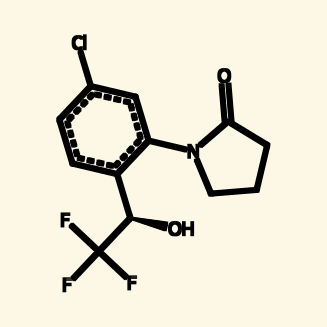 O=C1CCCN1c1cc(Cl)ccc1[C@@H](O)C(F)(F)F